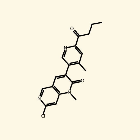 CCCC(=O)c1cc(C)c(-c2cc3cnc(Cl)cc3n(C)c2=O)cn1